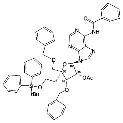 CC(=O)O[C@H]1[C@H](n2cnc3c(NC(=O)c4ccccc4)ncnc32)O[C@](CCO[Si](c2ccccc2)(c2ccccc2)C(C)(C)C)(COCc2ccccc2)[C@H]1OCc1ccccc1